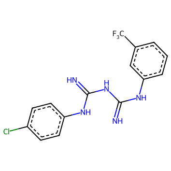 N=C(NC(=N)Nc1cccc(C(F)(F)F)c1)Nc1ccc(Cl)cc1